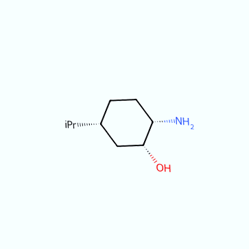 CC(C)[C@@H]1CC[C@H](N)[C@H](O)C1